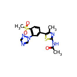 CC(=O)Nc1nc(C)c(-c2ccc(S(C)(=O)=O)c(-n3cncn3)c2)s1